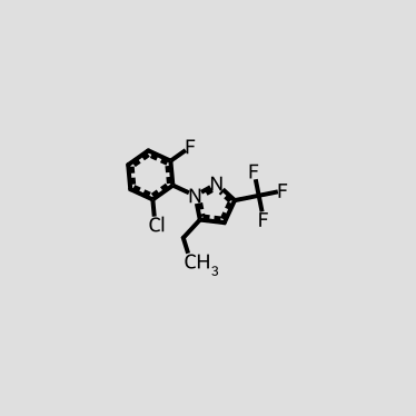 CCc1cc(C(F)(F)F)nn1-c1c(F)cccc1Cl